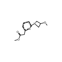 COC(=O)Cc1cccc(N2CC(OC)C2)n1